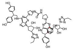 CCc1nnn([C@H]2C[C@@H](n3cnc4c(NCC(c5ccc(O)cc5)c5ccc(O)cc5)nc(N5CC[C@@H](NC(=O)N[C@@H]6CCN(c7nc(NCC(c8ccc(O)cc8)c8ccc(O)cc8)c8ncn([C@@H]9C[C@H](n%10nnc(CC)n%10)[C@@H](O)[C@H]9O)c8n7)C6)C5)nc43)[C@H](O)[C@@H]2O)n1